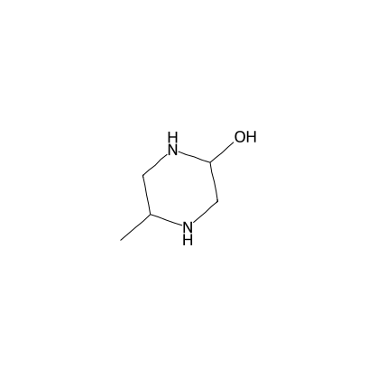 CC1CNC(O)CN1